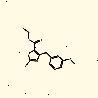 CCOC(=O)c1sc(Br)nc1Cc1cccc(OC)c1